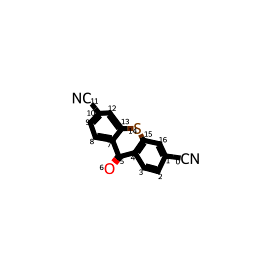 N#Cc1ccc2c(=O)c3ccc(C#N)cc3sc2c1